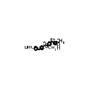 CCC(c1ccc(O)c(C)c1)c1ccc(OC(=O)c2ccc(Cc3ccc(C=O)cc3)cc2)c(C)c1